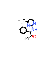 Cc1ccnc(NC(C(=O)C(C)C)c2ccccc2)n1